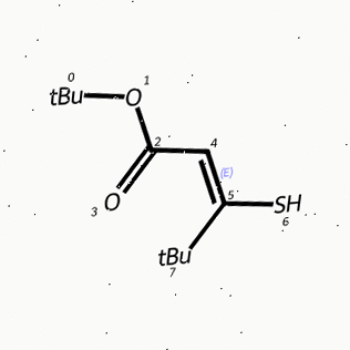 CC(C)(C)OC(=O)/C=C(/S)C(C)(C)C